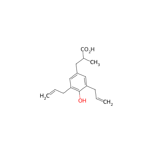 C=CCc1cc(CC(C)C(=O)O)cc(CC=C)c1O